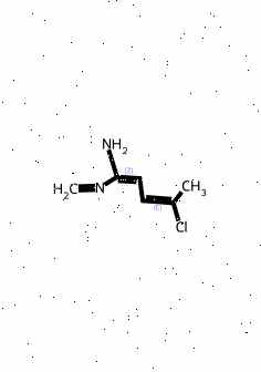 C=N/C(N)=C\C=C(/C)Cl